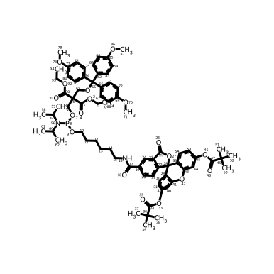 CCOC(=O)C(COP(OCCCCCCNC(=O)c1ccc2c(c1)C(=O)OC21c2ccc(OC(=O)C(C)(C)C)cc2Oc2cc(OC(=O)C(C)(C)C)ccc21)N(C(C)C)C(C)C)(COC(c1ccc(OC)cc1)(c1ccc(OC)cc1)c1ccc(OC)cc1)C(=O)OCC